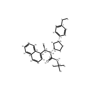 CCc1ccc([C@@H]2CC[C@H](N(C(=O)OC(C)(C)C)[C@H](C)c3cccc4ccccc34)C2)cc1